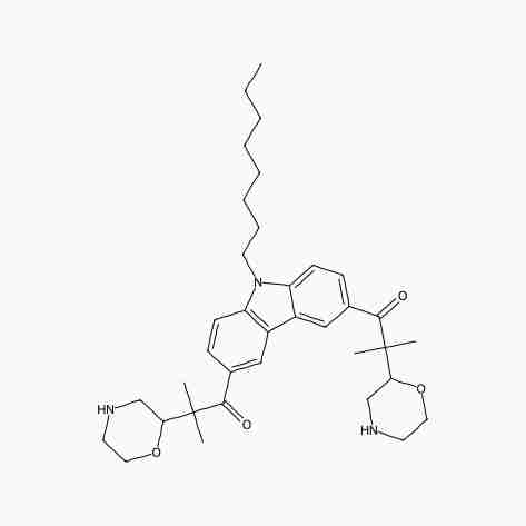 CCCCCCCCn1c2ccc(C(=O)C(C)(C)C3CNCCO3)cc2c2cc(C(=O)C(C)(C)C3CNCCO3)ccc21